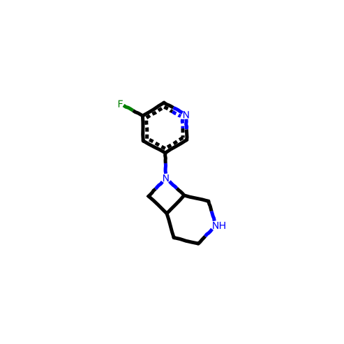 Fc1cncc(N2CC3CCNCC32)c1